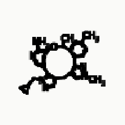 Cc1ccc2c(c1)C(C)Oc1cc(cnc1N)-c1c(cnn1CC1CC1)Cc1cn(C)nc1-2